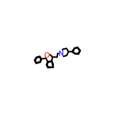 c1ccc(C2CCN(CCC3COC(c4ccccc4)c4ccccc43)CC2)cc1